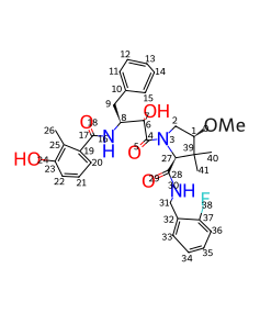 CO[C@@H]1CN(C(=O)[C@@H](O)[C@H](Cc2ccccc2)NC(=O)c2cccc(O)c2C)[C@H](C(=O)NCc2ccccc2F)C1(C)C